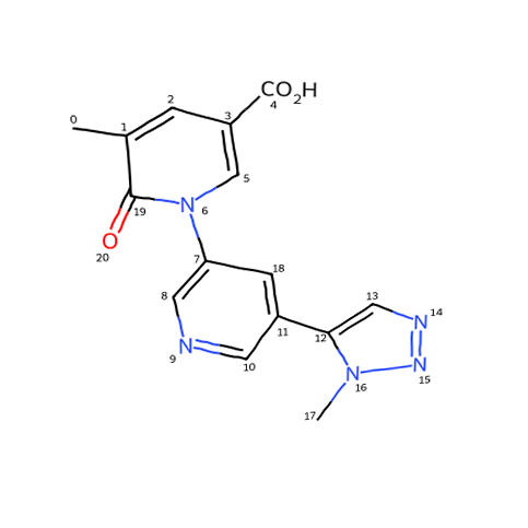 Cc1cc(C(=O)O)cn(-c2cncc(-c3cnnn3C)c2)c1=O